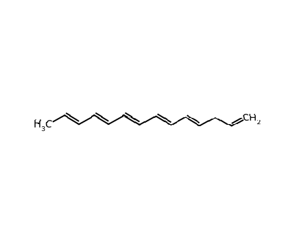 C=CCC=CC=CC=CC=CC=CC